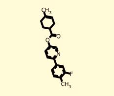 CC1=CCC(C(=O)Oc2ccc(-c3ccc(C)c(F)c3)nc2)CC1